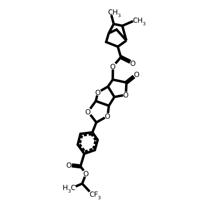 CC1C2CC(C(=O)OC3C(=O)OC4C5OC(c6ccc(C(=O)OC(C)C(F)(F)F)cc6)OC5OC34)C(C2)C1C